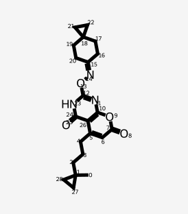 CC1(CCCc2cc(=O)oc3nc(ON=C4CCC5(CC4)CC5)[nH]c(=O)c23)CC1